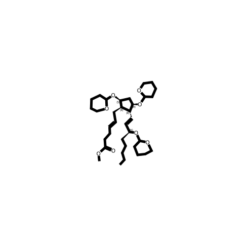 CCCCC[C@@H](C=C[C@@H]1[C@@H](CC=CCCC(=O)OC)[C@@H](OC2CCCCO2)C[C@H]1OC1CCCCO1)OC1CCCCO1